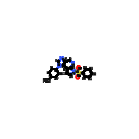 N#CC1CCC(n2cnc3cnc4c(ccn4S(=O)(=O)c4ccccc4)c32)CC1